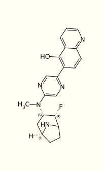 CN(c1cnc(-c2ccc3ncccc3c2O)cn1)[C@H]1C[C@@H]2CCC(N2)[C@H]1F